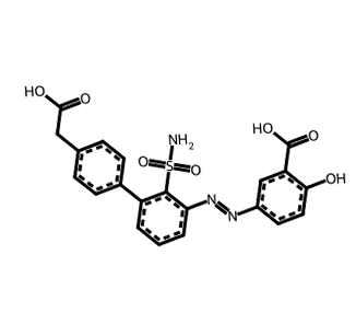 NS(=O)(=O)c1c(N=Nc2ccc(O)c(C(=O)O)c2)cccc1-c1ccc(CC(=O)O)cc1